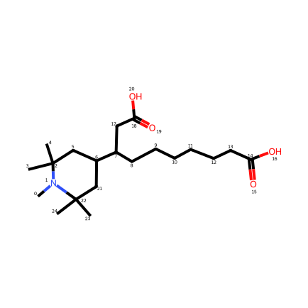 CN1C(C)(C)CC(C(CCCCCCC(=O)O)CC(=O)O)CC1(C)C